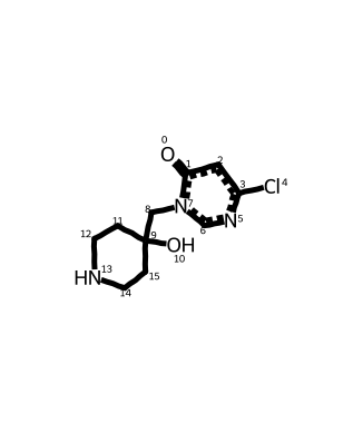 O=c1cc(Cl)ncn1CC1(O)CCNCC1